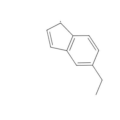 CCc1ccc2c(c1)C=C[CH]2